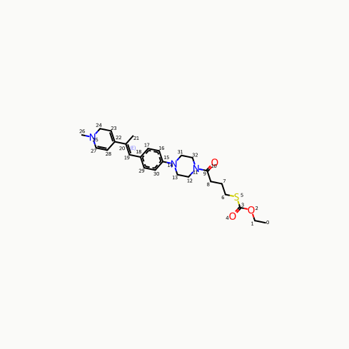 CCOC(=O)SCCCC(=O)N1CCN(c2ccc(/C=C(\C)C3=CCN(C)C=C3)cc2)CC1